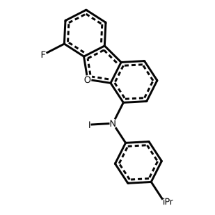 CC(C)c1ccc(N(I)c2cccc3c2oc2c(F)cccc23)cc1